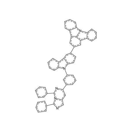 c1ccc(-c2ncc3cc(-c4cccc(-n5c6ccccc6c6cc(-c7cc8c9ccccc9n9c%10ccccc%10c(c7)c89)ccc65)c4)nc(-c4ccccc4)n23)cc1